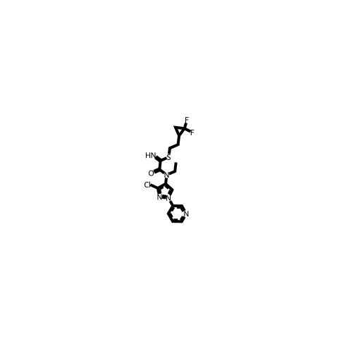 CCN(C(=O)C(=N)SCCC1CC1(F)F)c1cn(-c2cccnc2)nc1Cl